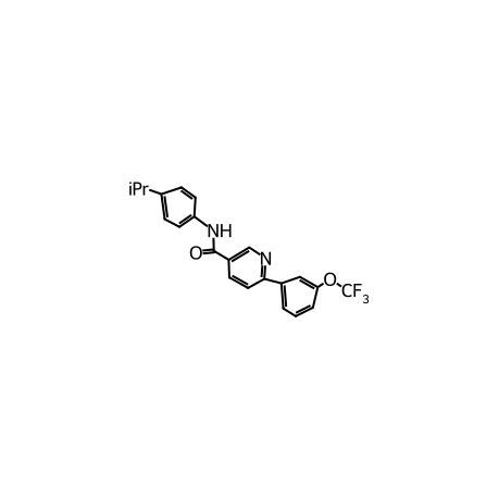 CC(C)c1ccc(NC(=O)c2ccc(-c3cccc(OC(F)(F)F)c3)nc2)cc1